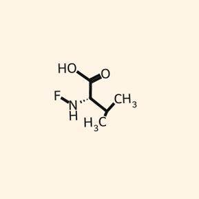 CC(C)[C@H](NF)C(=O)O